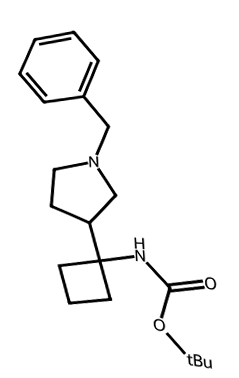 CC(C)(C)OC(=O)NC1(C2CCN(Cc3ccccc3)C2)CCC1